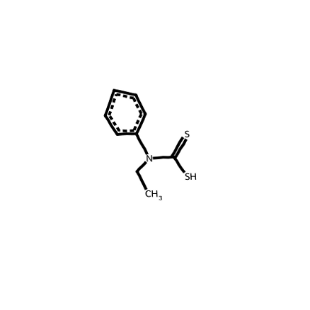 CCN(C(=S)S)c1ccccc1